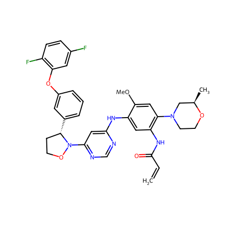 C=CC(=O)Nc1cc(Nc2cc(N3OCC[C@@H]3c3cccc(Oc4cc(F)ccc4F)c3)ncn2)c(OC)cc1N1CCO[C@H](C)C1